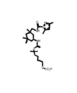 C=C(NC1CC(C)(C)CC(C)(CNC(=O)n2nc(C)cc2C)C1)OC(C)(C)CCCCOC(=O)O